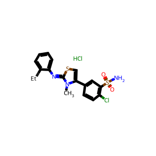 CCc1ccccc1N=c1scc(-c2ccc(Cl)c(S(N)(=O)=O)c2)n1C.Cl